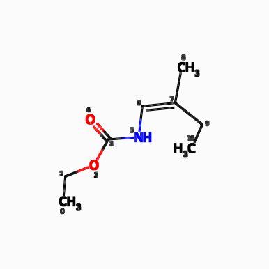 CCOC(=O)N/C=C(/C)CC